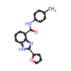 Cc1ccc(NC(=O)c2cccc3[nH]c(-c4ccco4)nc23)cc1